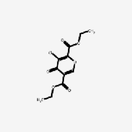 CCOC(=O)c1occ(C(=O)OCC)c(=O)c1Cl